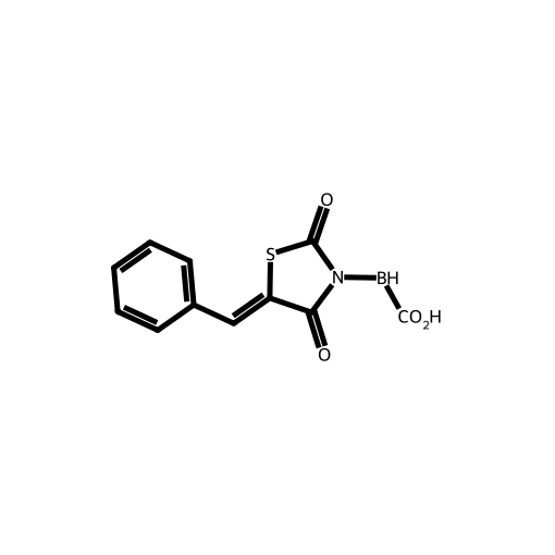 O=C(O)BN1C(=O)S/C(=C\c2ccccc2)C1=O